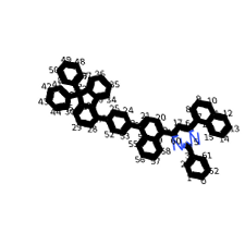 c1ccc(-c2nc(-c3cccc4ccccc34)cc(-c3ccc(-c4ccc(-c5cccc6c5-c5ccccc5C6(c5ccccc5)c5ccccc5)cc4)c4ccccc34)n2)cc1